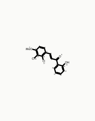 COc1ccc(C=CC(=O)c2ccccc2O)c(Cl)c1Cl